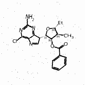 CC[C@H]1O[C@@H](C2C=Nc3c(Cl)nc(N)nc32)[C@H](OC(=O)c2ccccc2)[C@@H]1C